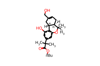 CCCCOC(=O)C(C)(C)c1cc(O)c2c(c1)OC(C)(C)[C@@H]1CC=C(CO)C[C@@H]21